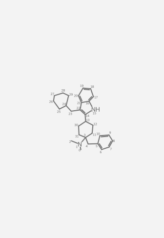 CN(C)C1(Cc2ccccc2)CCC(c2[nH]c3ccccc3c2CC2CCCCC2)CC1